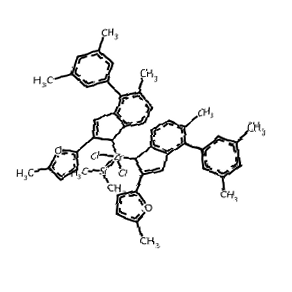 Cc1cc(C)cc(-c2c(C)ccc3c2C=C(c2ccc(C)o2)[CH]3[Zr]([Cl])([Cl])([CH]2C(c3ccc(C)o3)=Cc3c2ccc(C)c3-c2cc(C)cc(C)c2)=[Si](C)C)c1